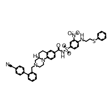 N#Cc1ccc(-c2ccccc2CN2CCN3c4ccc(C(=O)NS(=O)(=O)c5ccc(NCCSc6ccccc6)c([N+](=O)[O-])c5)cc4CC[C@H]3C2)cc1